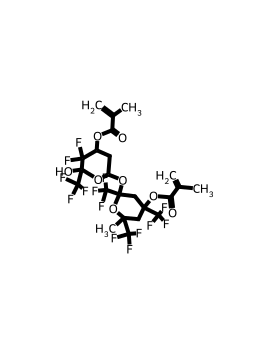 C=C(C)C(=O)OC1CC(OC2(C(F)(F)F)CC(OC(=O)C(=C)C)(C(F)(F)F)CC(C)(C(F)(F)F)O2)OC(O)(C(F)(F)F)C1(F)F